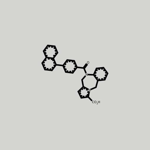 O=C(O)c1ccc2n1Cc1ccccc1N(C(=O)c1ccc(-c3cccc4ccccc34)cc1)C2